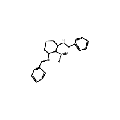 O=[N+]([O-])C1C(NCc2ccccc2)CCCC1NCc1ccccc1